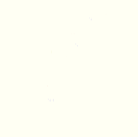 Cc1cccc(CNC(=O)Cc2ccc(-c3cnc(OCCN4CCOCC4)cc3F)cc2)c1